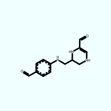 O=CC1=CNCC(CNc2ccc(C=O)cc2)N1